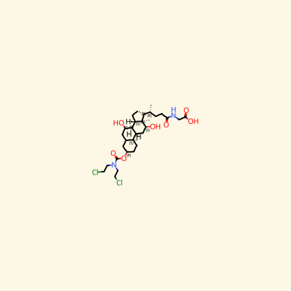 C[C@H](CCC(=O)NCC(=O)O)[C@H]1CC[C@H]2[C@@H]3[C@H](O)CC4C[C@H](OC(=O)N(CCCl)CCCl)CC[C@]4(C)[C@H]3C[C@H](O)[C@]12C